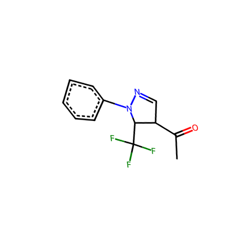 CC(=O)C1C=NN(c2ccccc2)C1C(F)(F)F